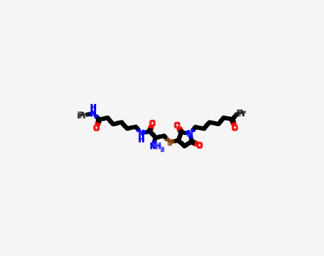 CC(C)NC(=O)CCCCCNC(=O)C(N)CSC1CC(=O)N(CCCCCC(=O)C(C)C)C1=O